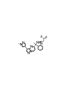 Cn1cc(-c2cnn3ccc(C(C)(N)c4ccccc4OCC(F)F)nc23)cn1